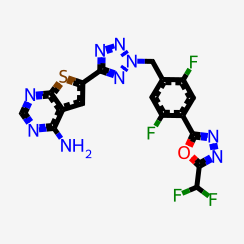 Nc1ncnc2sc(-c3nnn(Cc4cc(F)c(-c5nnc(C(F)F)o5)cc4F)n3)cc12